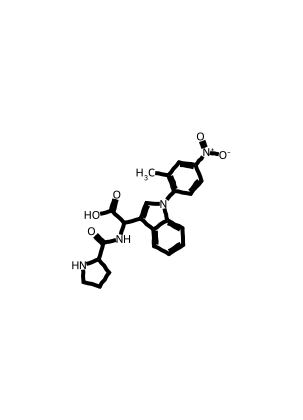 Cc1cc([N+](=O)[O-])ccc1-n1cc(C(NC(=O)C2CCCN2)C(=O)O)c2ccccc21